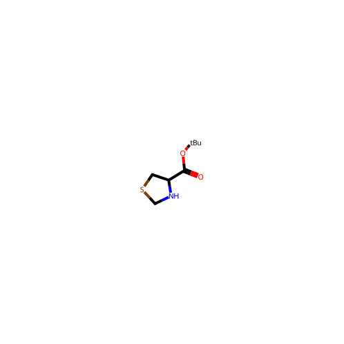 CC(C)(C)OC(=O)C1CSCN1